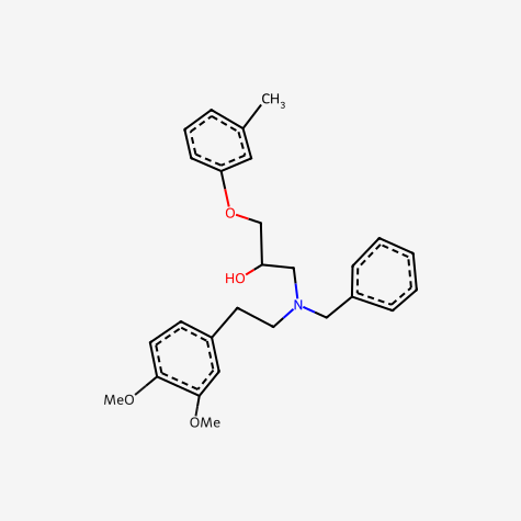 COc1ccc(CCN(Cc2ccccc2)CC(O)COc2cccc(C)c2)cc1OC